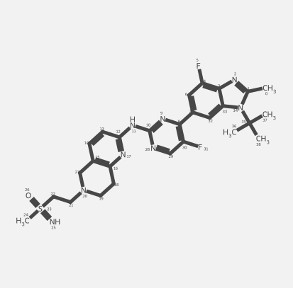 Cc1nc2c(F)cc(-c3nc(Nc4ccc5c(n4)CCN(CCS(C)(=N)=O)C5)ncc3F)cc2n1C(C)(C)C